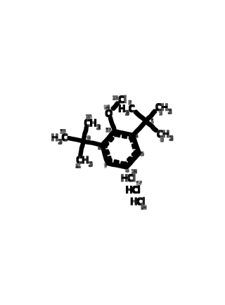 CC(C)(C)c1cccc(C(C)(C)C)c1OCl.Cl.Cl.Cl